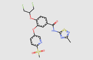 Cc1nsc(NC(=O)c2ccc(OC(CF)CF)c(Oc3ccc(S(C)(=O)=O)nc3)c2)n1